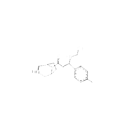 CCNC(CC(=O)N1C2CCC1CNC2)c1ccc(F)cc1